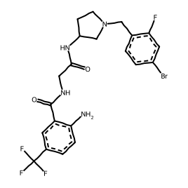 Nc1ccc(C(F)(F)F)cc1C(=O)NCC(=O)NC1CCN(Cc2ccc(Br)cc2F)C1